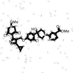 COC(=O)c1ccnc(N2CCC(O)(c3ccc(OCc4c(C5=C(Cl)CN(OC)C=C5Cl)noc4C4CC4)cc3Cl)CC2)c1